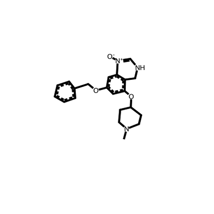 CN1CCC(Oc2cc(OCc3ccccc3)cc3c2CNC=[N+]3[O-])CC1